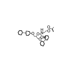 C=C(C)C(=O)OCCNC(O)OC(COc1ccc(-c2ccccc2)cc1)COc1ccccc1-c1ccccc1